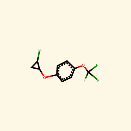 FC(F)(F)Oc1ccc(OC2CC2Br)cc1